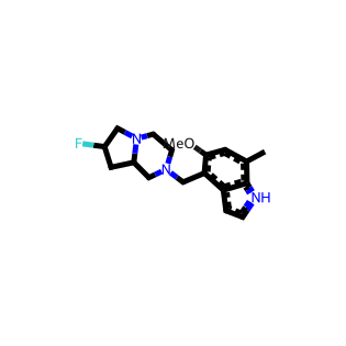 COc1cc(C)c2[nH]ccc2c1CN1CCN2CC(F)CC2C1